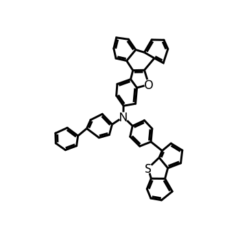 c1ccc(-c2ccc(N(c3ccc(-c4cccc5c4sc4ccccc45)cc3)c3ccc4c(c3)oc3c5ccccc5c5ccccc5c43)cc2)cc1